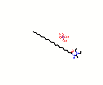 CCCCCCCCCCCCCCCCCC(=O)NC(C)N(CC)CC.O=P(O)(O)O